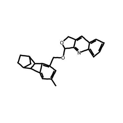 Cc1cc(COC2OCc3cc4ccccc4nc32)c2c(c1)C1C3CCC(C3)C21